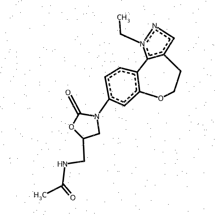 CCn1ncc2c1-c1ccc(N3CC(CNC(C)=O)OC3=O)cc1OCC2